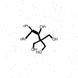 CCCC(CCC)=C(O)C(CO)(CO)CO